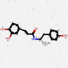 O=C(/C=C/c1ccc(O)c(O)c1)N[C@H](Cc1ccc(O)cc1)C(=O)O